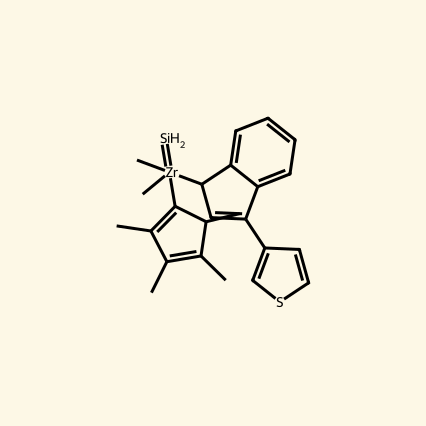 CC1=C(C)C(C)[C]([Zr]([CH3])([CH3])(=[SiH2])[CH]2C=C(c3ccsc3)c3ccccc32)=C1C